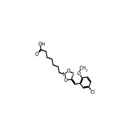 COc1ccc(Cl)cc1C=C1ON(CCCCCCC(=O)O)OS1